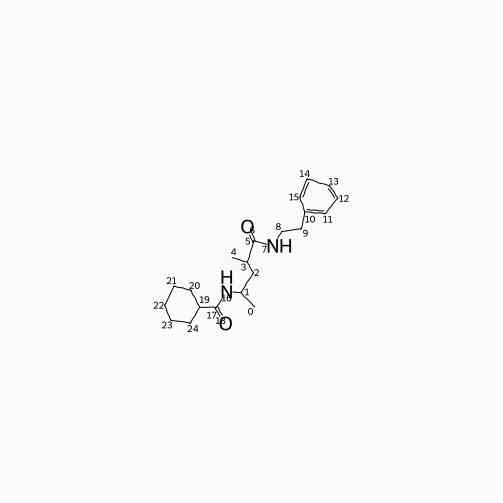 CC(CC(C)C(=O)NCCc1ccccc1)NC(=O)C1CCCCC1